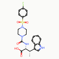 C[C@@H](c1c[nH]c2ccccc12)[C@@H](NC(=O)N1CCN(S(=O)(=O)c2ccc(F)cc2)CC1)C(=O)O